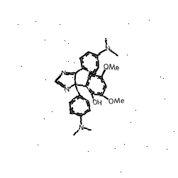 COc1cc(OC)c(O)c(C2(c3ccc(N(C)C)cc3)N=CN=C2c2ccc(N(C)C)cc2)c1